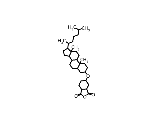 CC(C)CCCC(C)C1CCC2C3CCC4CC(OC5CCC6C(=O)OC(=O)C6C5)CCC4(C)C3CCC12C